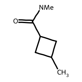 CNC(=O)C1CC(C)C1